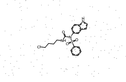 O=C(NCCCCCl)N(c1ccc2[nH]ccc2c1)S(=O)(=O)c1ccccc1